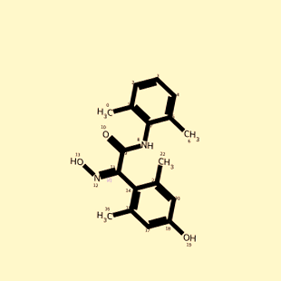 Cc1cccc(C)c1NC(=O)/C(=N\O)c1c(C)cc(O)cc1C